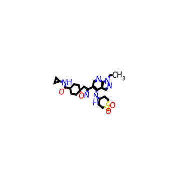 CCn1ncc2c(NC3CCS(=O)(=O)CC3)c(C3=NOC4(CCC(C(=O)NC5CC5)CC4)C3)cnc21